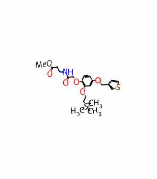 COC(=O)CCNC(=O)COc1ccc(OCc2ccsc2)cc1OCC[Si](C)(C)C